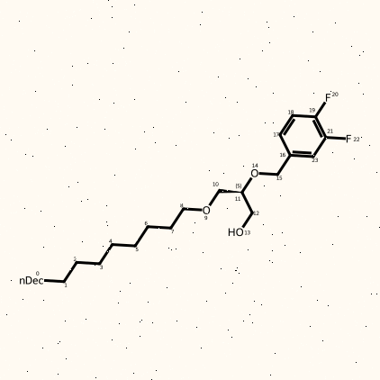 CCCCCCCCCCCCCCCCCCOC[C@H](CO)OCc1ccc(F)c(F)c1